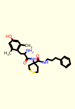 Cc1cc(O)cc(C)c1CC(N)C(=O)NC1(C(=O)NCCCc2ccccc2)CCSCC1